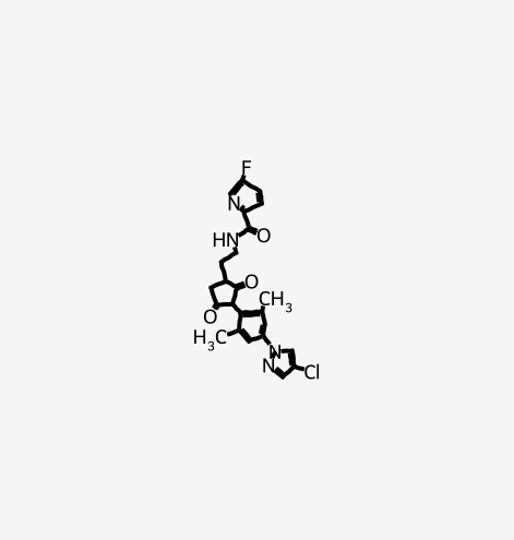 Cc1cc(-n2cc(Cl)cn2)cc(C)c1C1C(=O)CC(CCNC(=O)c2ccc(F)cn2)C1=O